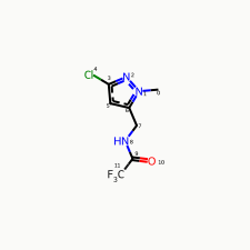 Cn1nc(Cl)cc1CNC(=O)C(F)(F)F